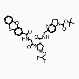 CC(C)(C)OC(=O)N1CCc2nc(CNC(=O)[C@@H]3C[C@@H](OC(F)F)CN3C(=O)CNC(=O)c3ccc4c(c3)Oc3ccccc3S4)ccc21